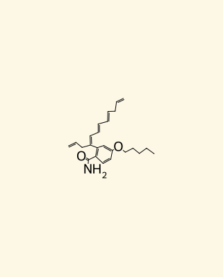 C=CC/C=C/C=C/C=C(/CC=C)c1cc(OCCCCC)ccc1C(N)=O